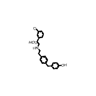 Oc1ccc(Cc2ccc(CCNC[C@H](O)c3cccc(Cl)c3)cc2)cc1